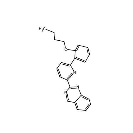 CCCCOc1ccccc1-c1cccc(-c2ncc3ccccc3n2)n1